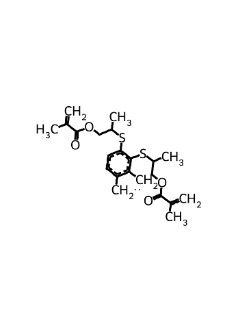 [CH2]c1ccc(SC(C)COC(=O)C(=C)C)c(SC(C)COC(=O)C(=C)C)c1[CH2]